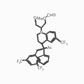 COCC(COC=O)N1CCC(C(Cc2cc(C(F)(F)F)cc(C(F)(F)F)c2)(C(C)=O)c2ccccc2)c2cc(C(F)(F)F)ccc21